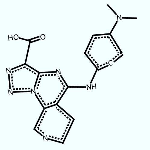 CN(C)c1ccc(Nc2nc3c(C(=O)O)nnn3c3cnccc23)cc1